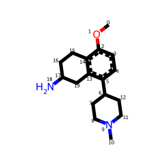 COc1ccc(C2CCN(C)CC2)c2c1CCC(N)C2